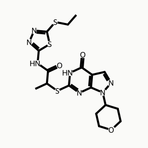 CCSc1nnc(NC(=O)C(C)Sc2nc3c(cnn3C3CCOCC3)c(=O)[nH]2)s1